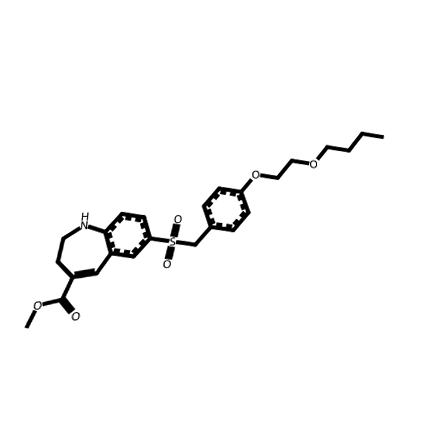 CCCCOCCOc1ccc(CS(=O)(=O)c2ccc3c(c2)C=C(C(=O)OC)CCN3)cc1